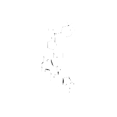 CCn1ncc(-c2nc3c(N[C@H]4CCN(C(=O)C5CCOC(C)(C)C5)C4)ncnc3n2C)c1C